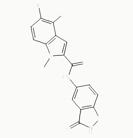 Cn1c(C(=O)Nc2ccc3s[nH]c(=O)c3c2)cc2c(Cl)c(F)ccc21